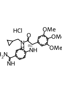 COc1cc([C@H](Nc2ccc(C(=N)N)cc2)C(=O)NCC2CC2)cc(OC)c1OC.Cl